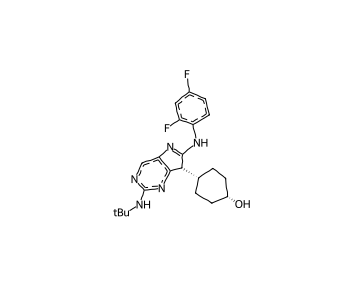 CC(C)(C)Nc1ncc2c(n1)C([C@H]1CC[C@@H](O)CC1)C(Nc1ccc(F)cc1F)=N2